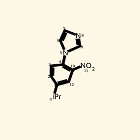 CC(C)c1ccc(-n2ccnc2)c([N+](=O)[O-])c1